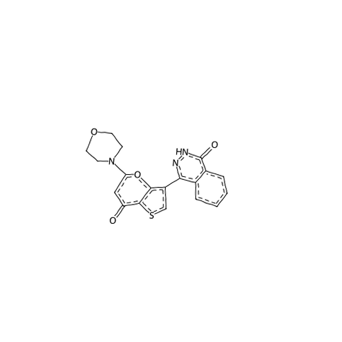 O=c1[nH]nc(-c2csc3c(=O)cc(N4CCOCC4)oc23)c2ccccc12